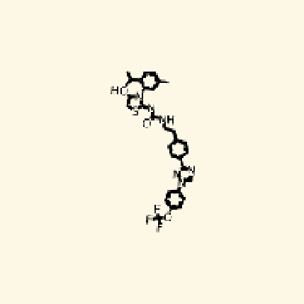 Cc1ccc(C(C)C)c(N2/C(=N/C(=O)NCCc3ccc(-c4ncn(-c5ccc(OC(F)(F)F)cc5)n4)cc3)SCC2O)c1